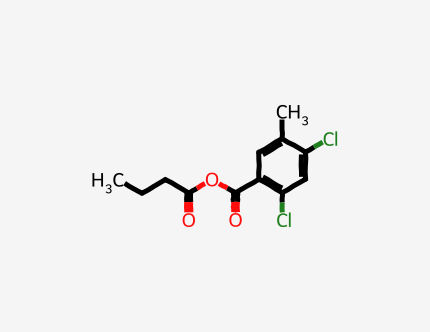 CCCC(=O)OC(=O)c1cc(C)c(Cl)cc1Cl